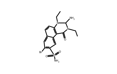 CCN1C(=O)c2c(ccc3cc(Br)c(S(N)(=O)=O)cc23)N(CC)C1N